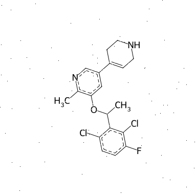 Cc1ncc(C2=CCNCC2)cc1OC(C)c1c(Cl)ccc(F)c1Cl